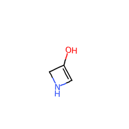 OC1=CNC1